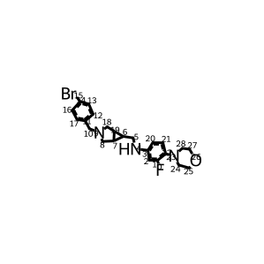 Fc1cc(NCC2C3CN(Cc4ccc(Br)cc4)CC23)ccc1N1CCOCC1